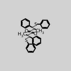 CS(Sc1ccccc1)(c1ccccc1)S(=O)(=O)S(C)(Sc1ccccc1)c1ccccc1